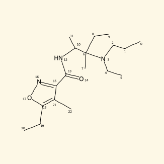 CCCN(CC)C(C)(CC)C(C)NC(=O)c1noc(CC)c1C